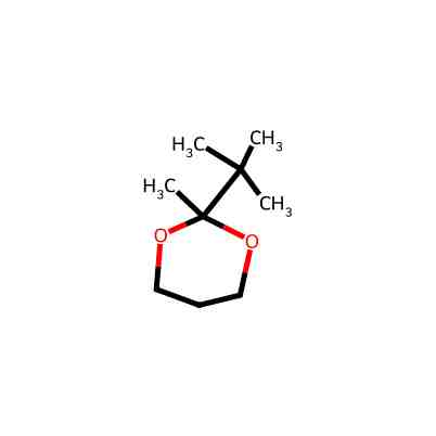 CC(C)(C)C1(C)OCCCO1